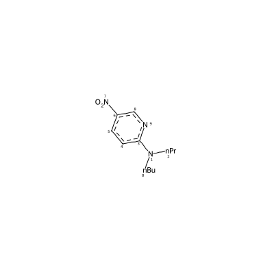 CCCCN(CCC)c1ccc([N+](=O)[O-])cn1